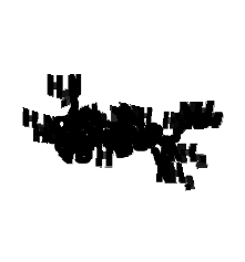 N=C(N)NCC/C=C(\CCC(=O)[C@H](CCCCN)NC(=O)[C@H](Cc1cnc[nH]1)NC(=O)[C@@H]1CCCN1C(=O)[C@@H](CCCN)NC(=O)CNC(=O)[C@@H](NC(=O)[C@@H](NC(=O)[C@@H](N)CCCCN)[C@@H](O)CN)C1CC1)C(N)=O